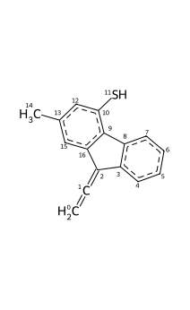 C=C=C1c2ccccc2-c2c(S)cc(C)cc21